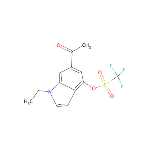 CCn1ccc2c(OS(=O)(=O)C(F)(F)F)cc(C(C)=O)cc21